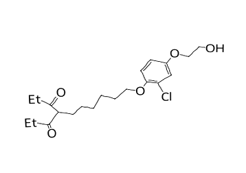 CCC(=O)C(CCCCCCOc1ccc(OCCO)cc1Cl)C(=O)CC